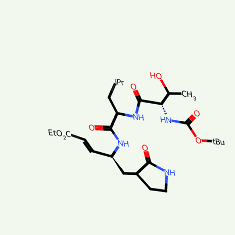 CCOC(=O)/C=C/[C@H](CC1CCNC1=O)NC(=O)C(CC(C)C)NC(=O)[C@@H](NC(=O)OC(C)(C)C)C(C)O